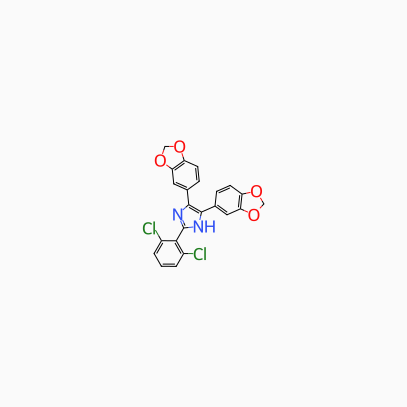 Clc1cccc(Cl)c1-c1nc(-c2ccc3c(c2)OCO3)c(-c2ccc3c(c2)OCO3)[nH]1